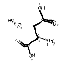 Cl.N[C@@H](CC(=O)O)C(=O)O.O